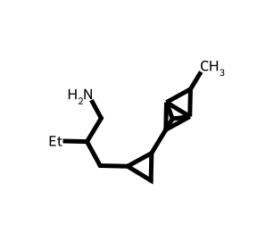 CCC(CN)CC1CC1C1C23CC12C3C